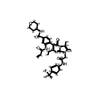 C=CC(=O)Nc1cc(C(=O)NC2CCOCC2)ccc1-c1c(CC)nc2n(CC(=O)Nc3ccc(C(F)(F)F)cc3)c(C)c(C)n2c1=O